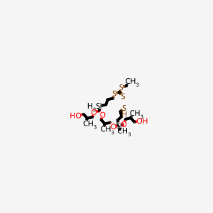 CCSC(=S)SCCC[SiH2]C(OCC(C)CO)OCC(C)CO[Si](C)(CCCS)OCC(C)CO